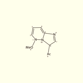 CON1C=CC=C2N=CC(C(C)=O)N21